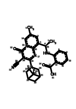 Cc1cc([C@@H](C)Nc2ccccc2C(=O)O)c2nc(N3CC4CC(C3)C4(F)F)c(C#N)c(=O)n2c1